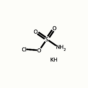 NS(=O)(=O)OCl.[KH]